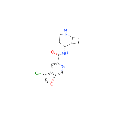 O=C(N[C@@H]1CCNC2CCC21)c1cc2c(Cl)coc2cn1